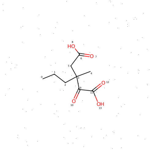 CCCC(C)(CC(=O)O)C(=O)C(=O)O